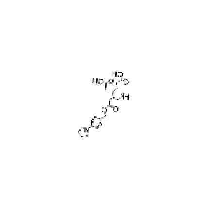 O=C(O)C[C@H]1CNC[C@@H](CC(=O)OCc2ccc(N3CCCC3)cc2)[C@@H]1CC(=O)O